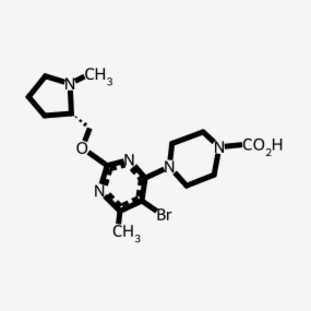 Cc1nc(OC[C@@H]2CCCN2C)nc(N2CCN(C(=O)O)CC2)c1Br